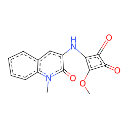 COc1c(Nc2cc3ccccc3n(C)c2=O)c(=O)c1=O